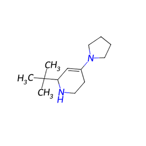 CC(C)(C)C1C=C(N2CCCC2)CCN1